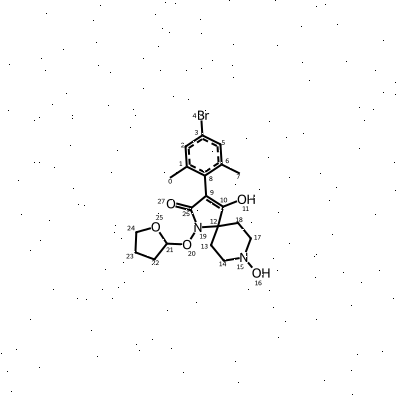 Cc1cc(Br)cc(C)c1C1=C(O)C2(CCN(O)CC2)N(OC2CCCO2)C1=O